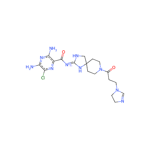 Nc1nc(N)c(C(=O)/N=C2\NCC3(CCN(C(=O)CCN4C=NCC4)CC3)N2)nc1Cl